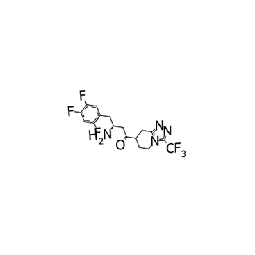 N[C@H](CC(=O)C1CCn2c(nnc2C(F)(F)F)C1)Cc1cc(F)c(F)cc1F